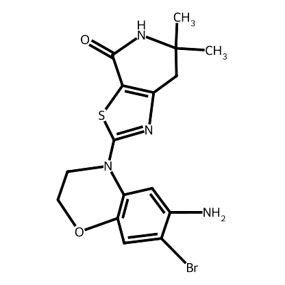 CC1(C)Cc2nc(N3CCOc4cc(Br)c(N)cc43)sc2C(=O)N1